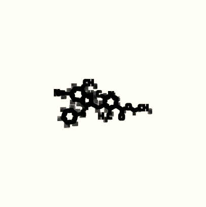 CCOC(=O)c1cnc(C)c(Cc2cc3c(C)cc(C#N)cc3n2Sc2ccccc2)c1C